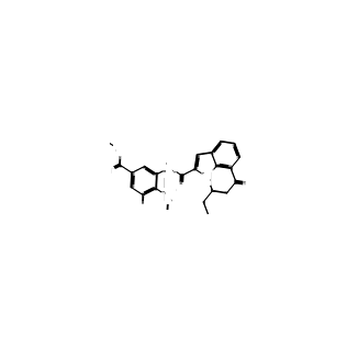 CCC1CC(=O)c2cccc3cc(C(=O)Nc4cc(C(=O)OC)cc(F)c4NC)n1c23